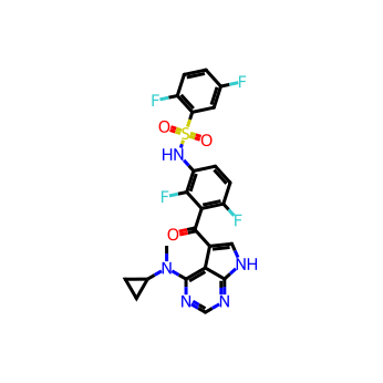 CN(c1ncnc2[nH]cc(C(=O)c3c(F)ccc(NS(=O)(=O)c4cc(F)ccc4F)c3F)c12)C1CC1